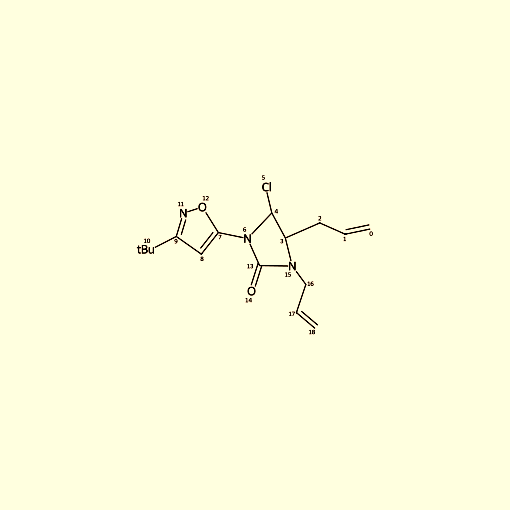 C=CCC1C(Cl)N(c2cc(C(C)(C)C)no2)C(=O)N1CC=C